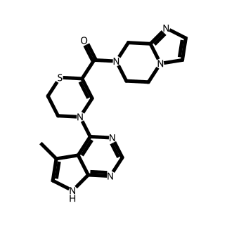 Cc1c[nH]c2ncnc(N3C=C(C(=O)N4CCn5ccnc5C4)SCC3)c12